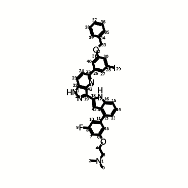 CN(C)CCOc1cc(F)cc(-c2cccc3[nH]c(-c4n[nH]c5ccc(-c6cc(I)cc(OCc7ccccc7)c6)nc45)cc23)c1